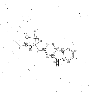 CCB1OC(C)(C)C(C)(Cc2ccc3c(c2)[nH]c2ccccc23)O1